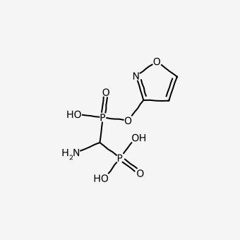 NC(P(=O)(O)O)P(=O)(O)Oc1ccon1